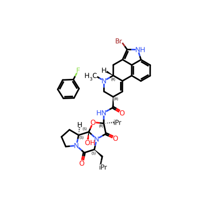 CC(C)C[C@H]1C(=O)N2CCC[C@H]2[C@]2(O)O[C@](NC(=O)[C@@H]3C=C4c5cccc6[nH]c(Br)c(c56)C[C@H]4N(C)C3)(C(C)C)C(=O)N12.Fc1ccccc1